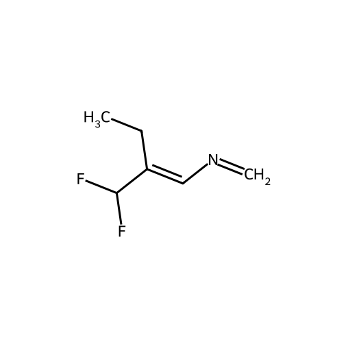 C=N/C=C(\CC)C(F)F